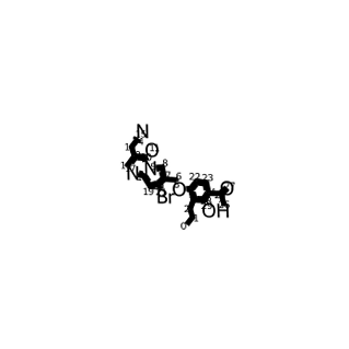 CCCc1c(OCc2cn3c(=O)c(CC#N)cnc3cc2Br)ccc(C(C)=O)c1O